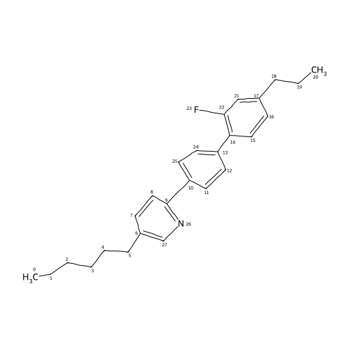 CCCCCCc1ccc(-c2ccc(-c3ccc(CCC)cc3F)cc2)nc1